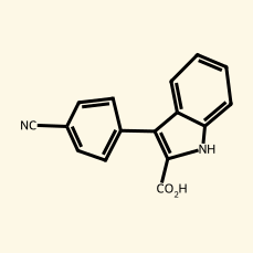 N#Cc1ccc(-c2c(C(=O)O)[nH]c3ccccc23)cc1